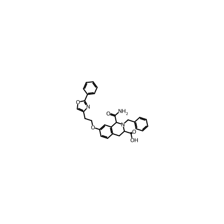 NC(=O)C1c2cc(OCCc3coc(-c4ccccc4)n3)ccc2CC(C(=O)O)N1Cc1ccccc1